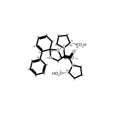 O=C(O)[C@H]1CCCN1C(=O)COC1(OCC(=O)N2CCC[C@@H]2C(=O)O)CC=CC=C1c1ccccc1